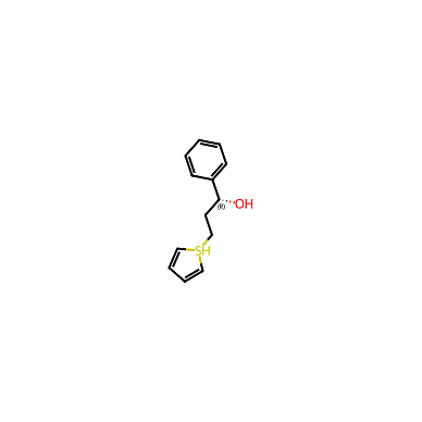 O[C@H](CC[SH]1C=CC=C1)c1ccccc1